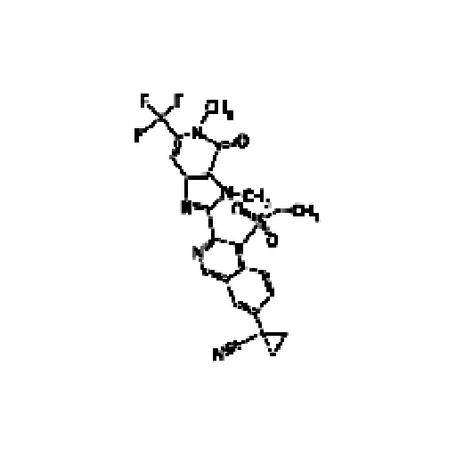 CCS(=O)(=O)c1c(-c2nc3cc(C(F)(F)F)n(C)c(=O)c3n2C)ncc2cc(C3(C#N)CC3)ccc12